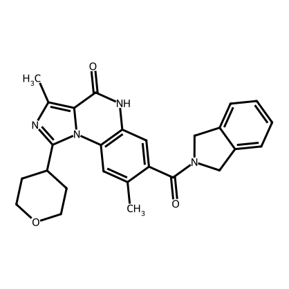 Cc1cc2c(cc1C(=O)N1Cc3ccccc3C1)[nH]c(=O)c1c(C)nc(C3CCOCC3)n12